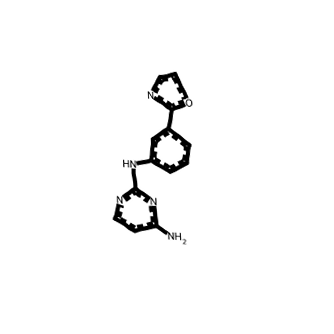 Nc1ccnc(Nc2cccc(-c3ncco3)c2)n1